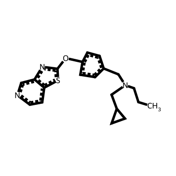 CCCN(Cc1ccc(Oc2nc3cnccc3s2)cc1)CC1CC1